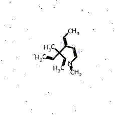 C=CC(C)(C=C)C(/C=C\N=C)=C/C